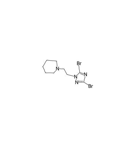 Brc1nc(Br)n(CCN2CCCCC2)n1